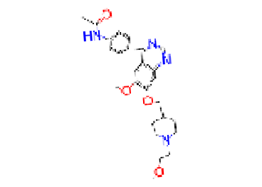 COCCN1CCC(COc2cc3ncnc(-c4ccc(NC(C)=O)cc4)c3cc2OC)CC1